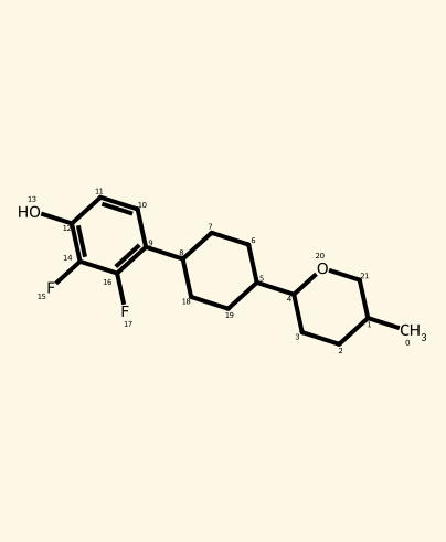 CC1CCC(C2CCC(c3ccc(O)c(F)c3F)CC2)OC1